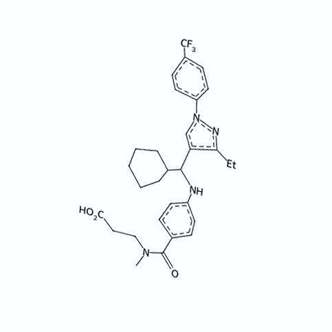 CCc1nn(-c2ccc(C(F)(F)F)cc2)cc1C(Nc1ccc(C(=O)N(C)CCC(=O)O)cc1)C1CCCCC1